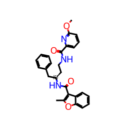 COc1cccc(C(=O)NCC[C@H](Cc2ccccc2)NC(=O)c2c(C)oc3ccccc23)n1